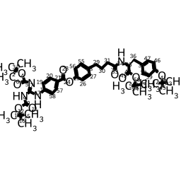 CC(C)(C)OC(=O)N=C(NC(=O)OC(C)(C)C)Nc1ccc(C(=O)Oc2ccc(CCCC(=O)N[C@@H](Cc3ccc(OC(C)(C)C)cc3)C(=O)OC(C)(C)C)cc2)cc1